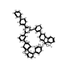 CC1(C)c2ccccc2-c2cc(-c3cccc(-c4nc(-c5ccc(-c6ccccc6)cc5)nc(-c5cccc(-c6ccc7c(c6)oc6cccc(-c8ccccc8)c67)c5)n4)c3)ccc21